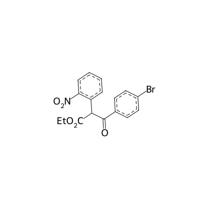 CCOC(=O)C(C(=O)c1ccc(Br)cc1)c1ccccc1[N+](=O)[O-]